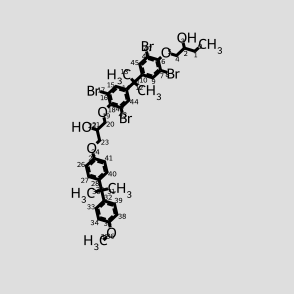 CCC(O)COc1c(Br)cc(C(C)(C)c2cc(Br)c(OCC(O)COc3ccc(C(C)(C)c4ccc(OC)cc4)cc3)c(Br)c2)cc1Br